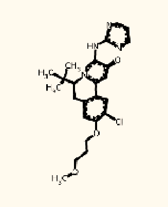 COCCCOc1cc2c(cc1Cl)-c1cc(=O)c(Nc3ncccn3)cn1C(C(C)(C)C)C2